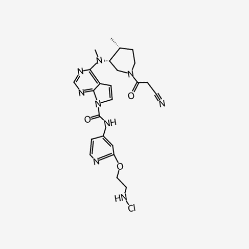 C[C@@H]1CCN(C(=O)CC#N)C[C@@H]1N(C)c1ncnc2c1ccn2C(=O)Nc1ccnc(OCCNCl)c1